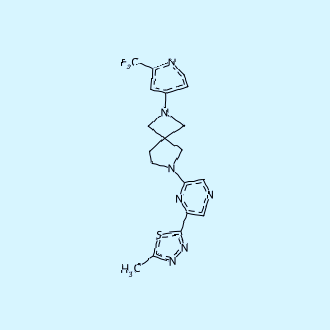 Cc1nnc(-c2cncc(N3CCC4(CN(c5ccnc(C(F)(F)F)c5)C4)C3)n2)s1